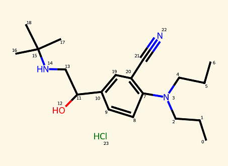 CCCN(CCC)c1ccc(C(O)CNC(C)(C)C)cc1C#N.Cl